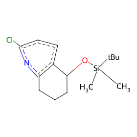 CC(C)(C)[Si](C)(C)OC1CCCc2nc(Cl)ccc21